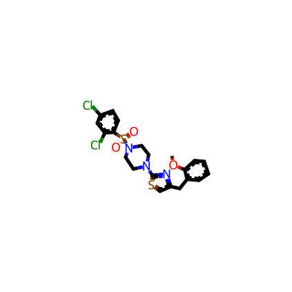 COc1ccccc1Cc1csc(N2CCN(S(=O)(=O)c3ccc(Cl)cc3Cl)CC2)n1